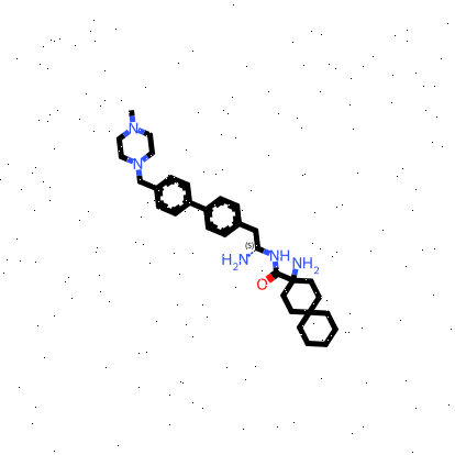 CN1CCN(Cc2ccc(-c3ccc(C[C@@H](N)NC(=O)C4(N)CCC5(CCCCC5)CC4)cc3)cc2)CC1